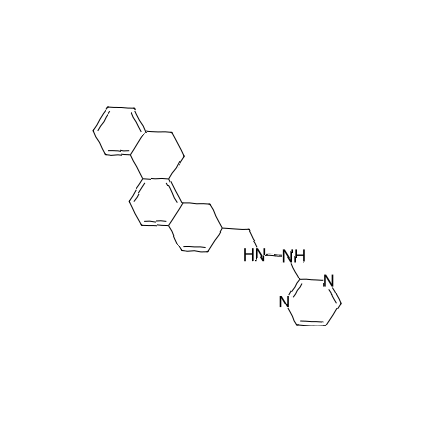 C1=CC(CNNc2ncccn2)Cc2c1ccc1c2CCc2ccccc2-1